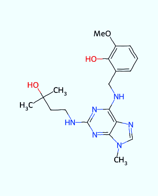 COc1cccc(CNc2nc(NCCC(C)(C)O)nc3c2ncn3C)c1O